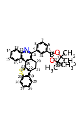 CC1(C)OB(c2cccc(-c3nc4ccccc4c4c3CCc3c-4sc4ccccc34)c2)OC1(C)C